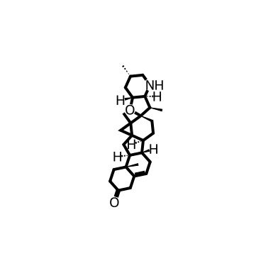 C[C@@H]1CN[C@H]2[C@@H](C)[C@@]3(CC[C@H]4[C@@H]5CC=C6CC(=O)CC[C@]6(C)[C@H]5CC45CC53C)O[C@@H]2C1